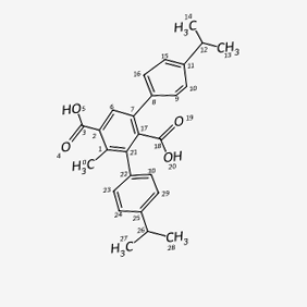 Cc1c(C(=O)O)cc(-c2ccc(C(C)C)cc2)c(C(=O)O)c1-c1ccc(C(C)C)cc1